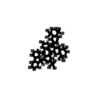 Cc1cc2c3c(c1)N(c1cccc4c1C(C)(C)C1C=CC=CC41)c1ccc(C(C)(C)C)cc1B3c1cc3c(cc1N2c1ccc2c(c1)C(C)(C)CCC2(C)C)C(C)(C)CCC3(C)C